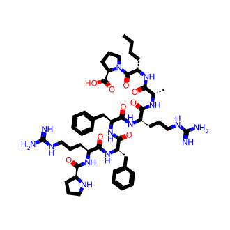 CCCC[C@H](NC(=O)[C@H](C)NC(=O)[C@H](CCCNC(=N)N)NC(=O)[C@H](Cc1ccccc1)NC(=O)[C@H](Cc1ccccc1)NC(=O)[C@H](CCCNC(=N)N)NC(=O)[C@@H]1CCCN1)C(=O)N1CCC[C@@H]1C(=O)O